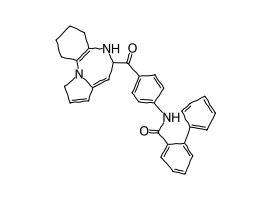 O=C(Nc1ccc(C(=O)C2C=C3C=CCN3C3=C(CCCC3)N2)cc1)c1ccccc1-c1ccccc1